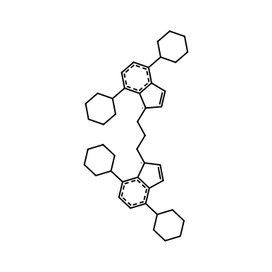 C1=Cc2c(C3CCCCC3)ccc(C3CCCCC3)c2[C]1CCC[C]1C=Cc2c(C3CCCCC3)ccc(C3CCCCC3)c21